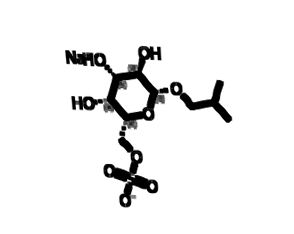 CC(C)CO[C@@H]1O[C@H](COS(=O)(=O)[O-])[C@H](O)[C@H](O)[C@H]1O.[Na+]